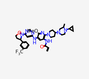 C=CC(=O)Nc1cc(Nc2cc(N3OCCC3c3cccc(C(F)(F)F)c3)ncn2)c(OC)nc1N1CCC(N2CCN(C3CC3)C(C)C2)CC1